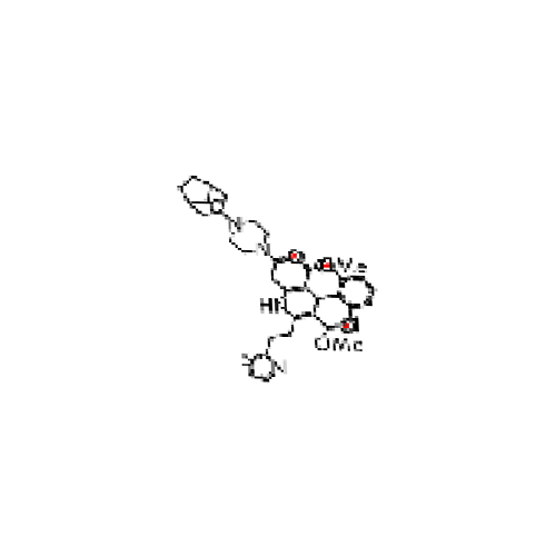 COC(=O)C1=C(CCc2nccs2)NC(CC(=O)N2CCN(C3CC4CCC(C3)C4=O)CC2)=C(C(=O)OC)C1c1c(Cl)cccc1Cl